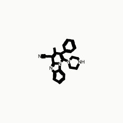 Cc1c(-c2ccccc2)c(N2CCNCC2)n2c(nc3ccccc32)c1C#N